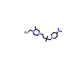 CC1CN(CCC(C)(C)CN2CCC(N(C)C)CC2)CCN1CC(C)(C)C